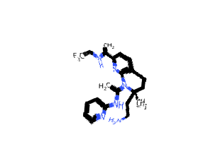 C=C(NCC(F)(F)F)c1ccc2c(n1)N(C(=C)Nc1ccccn1)[C@@](C)(CCN)CC2